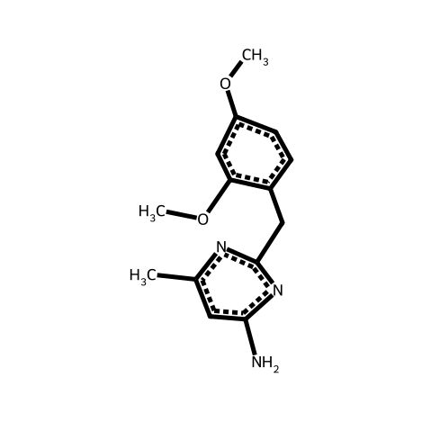 COc1ccc(Cc2nc(C)cc(N)n2)c(OC)c1